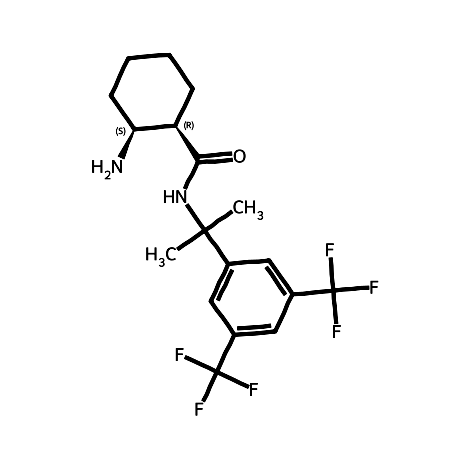 CC(C)(NC(=O)[C@@H]1CCCC[C@@H]1N)c1cc(C(F)(F)F)cc(C(F)(F)F)c1